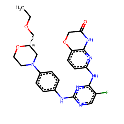 CCOC[C@@H]1CN(c2ccc(Nc3ncc(F)c(Nc4ccc5c(n4)NC(=O)CO5)n3)cc2)CCO1